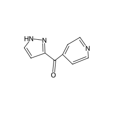 O=C(c1ccncc1)c1cc[nH]n1